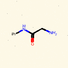 [CH2]C(C)NC(=O)CN